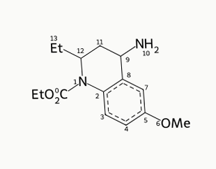 CCOC(=O)N1c2ccc(OC)cc2C(N)CC1CC